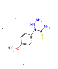 COc1ccc(N(NN)C(N)=S)cc1